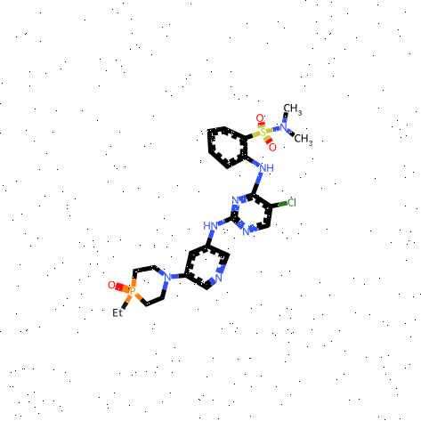 CCP1(=O)CCN(c2cncc(Nc3ncc(Cl)c(Nc4ccccc4S(=O)(=O)N(C)C)n3)c2)CC1